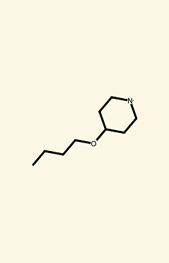 CCCCOC1CC[N]CC1